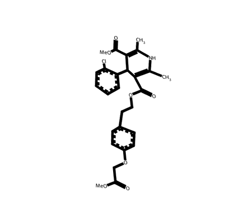 COC(=O)COc1ccc(CCOC(=O)C2=C(C)NC(C)=C(C(=O)OC)C2c2ccccc2Cl)cc1